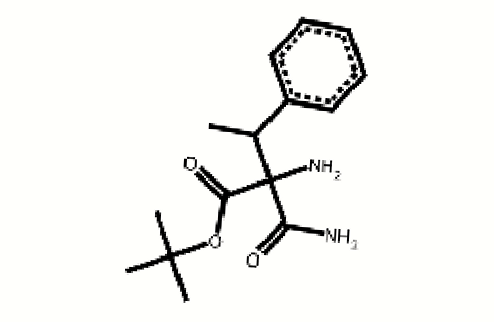 CC(c1ccccc1)C(N)(C(N)=O)C(=O)OC(C)(C)C